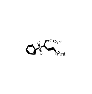 CCCCC/C=C/C(CC(=O)O)S(=O)(=O)c1ccccc1